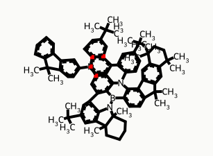 CC(C)(C)c1ccc(N(c2ccc3c(c2)-c2ccccc2C3(C)C)c2cc3c4c(c2)N(c2ccc(C(C)(C)C)cc2-c2ccccc2)c2c(ccc5c2-c2cc6c(cc2C5(C)C)C(C)(C)CCC6(C)C)B4N2c4c-3cc(C(C)(C)C)cc4C3(C)CCCCC23C)cc1